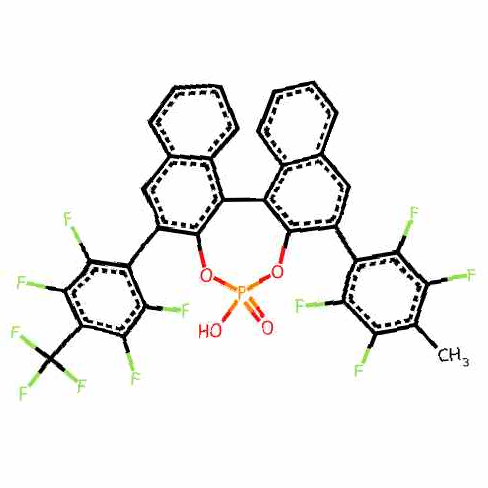 Cc1c(F)c(F)c(-c2cc3ccccc3c3c2OP(=O)(O)Oc2c(-c4c(F)c(F)c(C(F)(F)F)c(F)c4F)cc4ccccc4c2-3)c(F)c1F